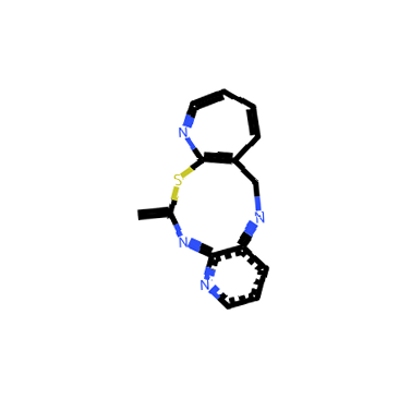 C=C1/N=c2/nccc/c2=N/CC2=C(N=C=CC=C2)S1